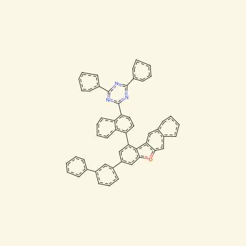 c1ccc(-c2cccc(-c3cc(-c4ccc(-c5nc(-c6ccccc6)nc(-c6ccccc6)n5)c5ccccc45)c4c(c3)oc3cc5ccccc5cc34)c2)cc1